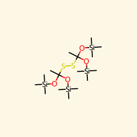 CC(O[Si](C)(C)C)(O[Si](C)(C)C)SSC(C)(O[Si](C)(C)C)O[Si](C)(C)C